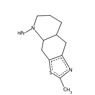 CCCN1CCCC2Cc3nc(C)sc3CC21